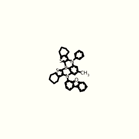 Cc1cc2c3c(c1)N(c1cccc4c1oc1ccccc14)c1c(sc4c1CCCC4)B3c1sc3c(c1N2c1ccccc1)CCCC3